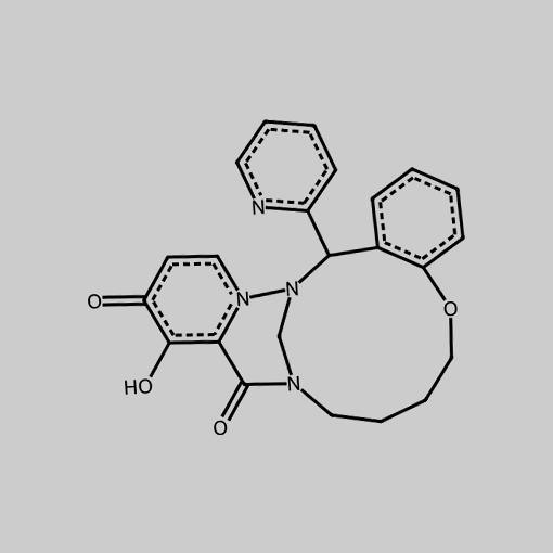 O=C1c2c(O)c(=O)ccn2N2CN1CCCCOc1ccccc1C2c1ccccn1